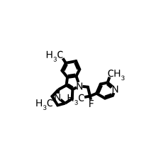 Cc1ccc2c(c1)c1c(n2CC(C)(F)c2ccnc(C)c2)CC2CCC1N2C